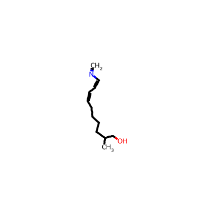 C=N/C=C\C=C/CCCCC(C)CO